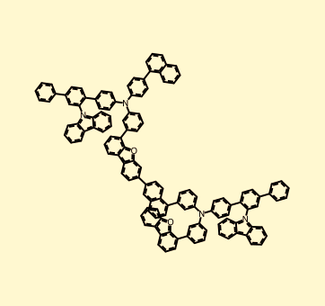 c1ccc(-c2ccc(-c3ccc(N(c4ccc(-c5cccc6ccccc56)cc4)c4cccc(-c5cccc6c5oc5cc(-c7ccc8c(-c9cccc(N(c%10ccc(-c%11ccc(-c%12ccccc%12)cc%11-n%11c%12ccccc%12c%12ccccc%12%11)cc%10)c%10cccc(-c%11cccc%12c%11oc%11ccccc%11%12)c%10)c9)cccc8c7)ccc56)c4)cc3)c(-n3c4ccccc4c4ccccc43)c2)cc1